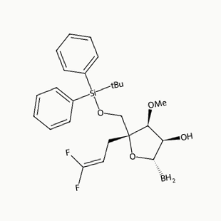 B[C@@H]1O[C@](CC=C(F)F)(CO[Si](c2ccccc2)(c2ccccc2)C(C)(C)C)[C@@H](OC)[C@H]1O